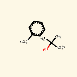 CC(C)(O)S(=O)(=O)O.O=S(=O)(O)c1ccccc1